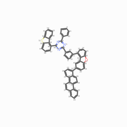 c1ccc(-c2nc(-c3cccc(-c4cccc5oc6ccc(-c7cccc8c7ccc7c9ccccc9ccc87)cc6c45)c3)nc(-c3cccc4sc5ccccc5c34)n2)cc1